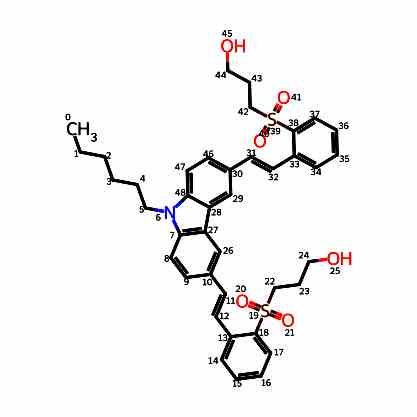 CCCCCCn1c2ccc(C=Cc3ccccc3S(=O)(=O)CCCO)cc2c2cc(C=Cc3ccccc3S(=O)(=O)CCCO)ccc21